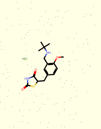 COc1ccc(CC2SC(=O)NC2=O)cc1CNC(C)(C)C.Cl